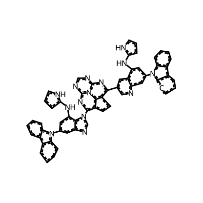 c1c[nH]c(Nc2cc(-n3c4ccccc4c4ccccc43)cc3ncc(-c4nc5ncnc6nc(-n7cnc8cc(-n9c%10ccccc%10c%10ccccc%109)cc(Nc9ccc[nH]9)c87)c7ccc4c7n56)cc23)c1